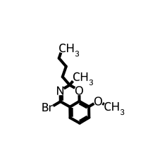 CCCCC1(C)N=C(Br)c2cccc(OC)c2O1